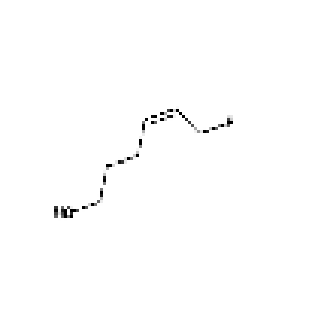 OCCC/C=C\CF